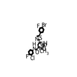 CN1[C@@H](C(=O)Nc2ccc(F)c(Cl)c2)C[C@@H](c2ncc(-c3ccc(Br)c(F)c3)s2)NS1(=O)=O